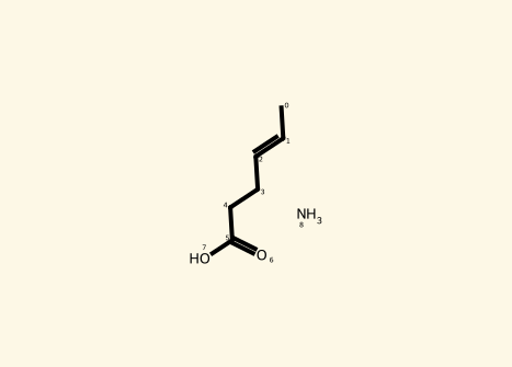 CC=CCCC(=O)O.N